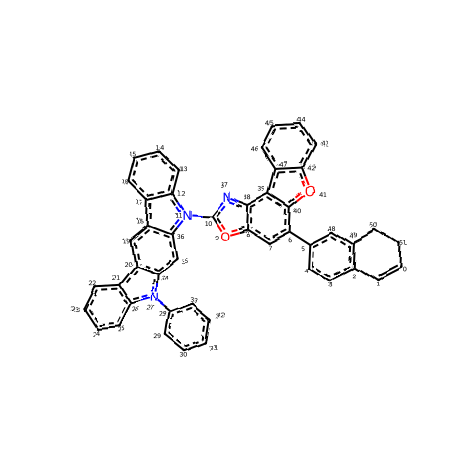 C1=Cc2ccc(-c3cc4oc(-n5c6ccccc6c6cc7c8ccccc8n(-c8ccccc8)c7cc65)nc4c4c3oc3ccccc34)cc2CC1